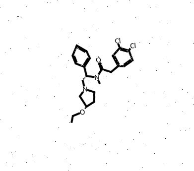 CCO[C@H]1CCN(C[C@H](c2ccccc2)N(C)C(=O)Cc2ccc(Cl)c(Cl)c2)C1